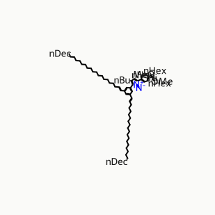 CCCCCCCCCCCCCCCCCCCCCCCCCCCC=Cc1cc(C=CCCCCCCCCCCCCCCCCCCCCCCCCCCC)cc(C2=C(CCCC)C(CCCCCC)=C(c3cc(CCCCCC)cc(CCCCCC)c3)[N+]2=[N-])c1.C[O][Ni][O]C